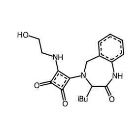 CCC(C)C1C(=O)Nc2ccccc2CN1c1c(NCCO)c(=O)c1=O